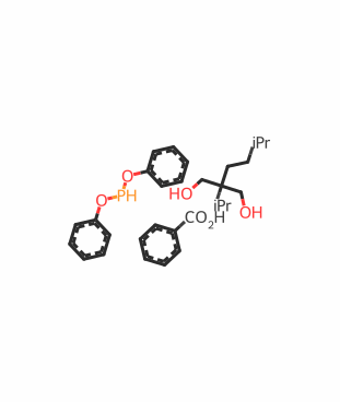 CC(C)CCC(CO)(CO)C(C)C.O=C(O)c1ccccc1.c1ccc(OPOc2ccccc2)cc1